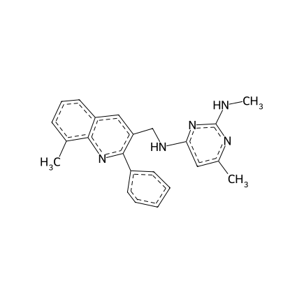 CNc1nc(C)cc(NCc2cc3cccc(C)c3nc2-c2ccccc2)n1